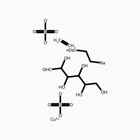 C=C.CCCCCCCCCCC[CH2][Na].O=CC(O)C(O)C(O)C(O)CO.O=S(=O)([O-])[O-].O=S(=O)([O-])[O-].[Cu+4]